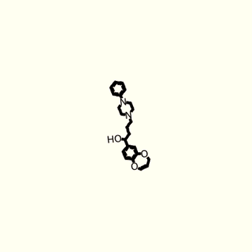 OC(CCCN1CCN(c2ccccc2)CC1)c1ccc2c(c1)OCC=CO2